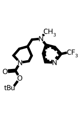 CN(CC1CCN(C(=O)OC(C)(C)C)CC1)c1ccnc(C(F)(F)F)c1